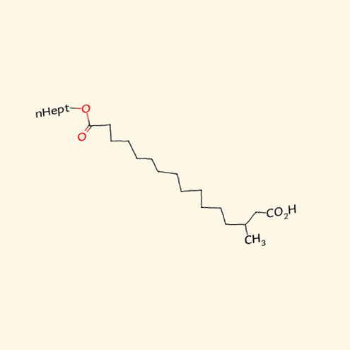 CCCCCCCOC(=O)CCCCCCCCCCCCC(C)CC(=O)O